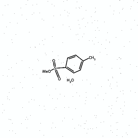 COS(=O)(=O)c1ccc(C)cc1.O